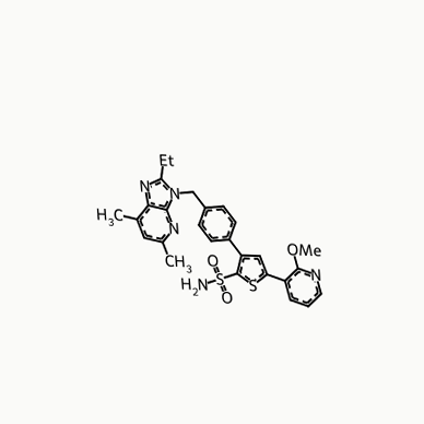 CCc1nc2c(C)cc(C)nc2n1Cc1ccc(-c2cc(-c3cccnc3OC)sc2S(N)(=O)=O)cc1